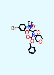 CC[N+]([O-])(C(=O)C1COC2(CCOCC2)N1C(=O)OCc1ccccc1)c1ccc(Br)cc1